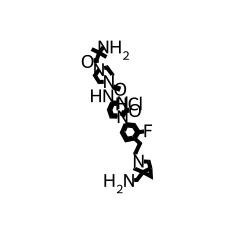 CC(C)(N)C(=O)N1CCN(C(=O)Nc2ccn(-c3ccc(CCN4CC5CC5(CN)C4)c(F)c3)c(=O)n2)CC1.Cl